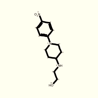 O=[N+]([O-])c1ccc(N2CCC(NCCO)CC2)cc1